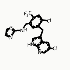 FC(F)(F)c1cc(Cl)c(Cc2c[nH]c3ncc(Cl)cc23)cc1CNc1nccs1